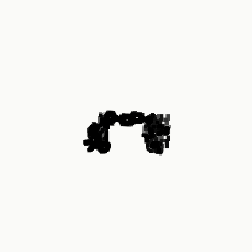 CCN(CC)[C@@H](C(=O)N1CCC[C@H]1c1nc2ccc(-c3ccc4cc(-c5c[nH]c([C@@H]6C[Si](C)(C)CN6C(=O)[C@@H](NC(=O)OC)C(C)C)n5)ccc4c3)cc2[nH]1)c1ccccc1